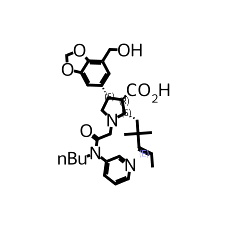 C/C=C/C(C)(C)C[C@H]1[C@H](C(=O)O)[C@@H](c2cc(CO)c3c(c2)OCO3)CN1CC(=O)N(CCCC)c1cccnc1